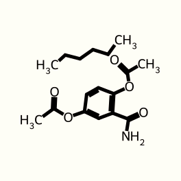 CC(=O)Oc1ccc(OC(C)=O)c(C(N)=O)c1.CCCCCC